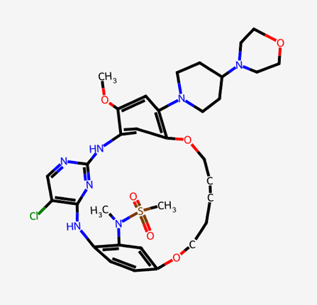 COc1cc(N2CCC(N3CCOCC3)CC2)c2cc1Nc1ncc(Cl)c(n1)Nc1ccc(cc1N(C)S(C)(=O)=O)OCCCCCO2